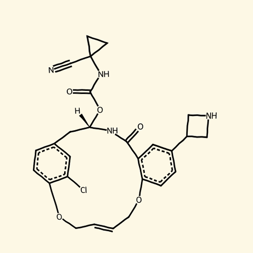 N#CC1(NC(=O)O[C@H]2Cc3ccc(c(Cl)c3)OC/C=C/COc3ccc(C4CNC4)cc3C(=O)N2)CC1